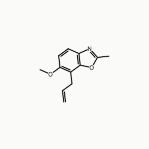 C=CCc1c(OC)ccc2nc(C)oc12